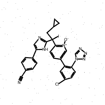 N#Cc1ccc(-c2cnc(C(I)(CC3CC3)c3ccc(-c4cc(Cl)ccc4-n4cnnn4)c[n+]3[O-])[nH]2)cc1